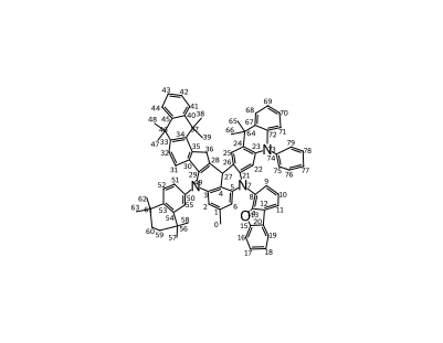 Cc1cc2c3c(c1)N(c1cccc4c1oc1ccccc14)c1cc4c(cc1C3C1=C(c3ccc5c(c3C1)C(C)(C)c1ccccc1C5(C)C)N2c1ccc2c(c1)C(C)(C)CCC2(C)C)C(C)(C)c1ccccc1N4c1ccccc1